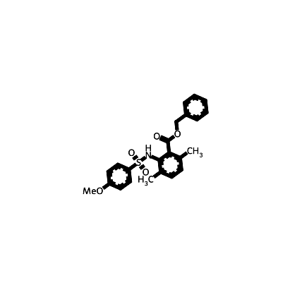 COc1ccc(S(=O)(=O)Nc2c(C)ccc(C)c2C(=O)OCc2ccccc2)cc1